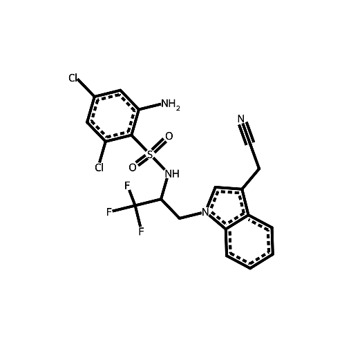 N#CCc1cn(CC(NS(=O)(=O)c2c(N)cc(Cl)cc2Cl)C(F)(F)F)c2ccccc12